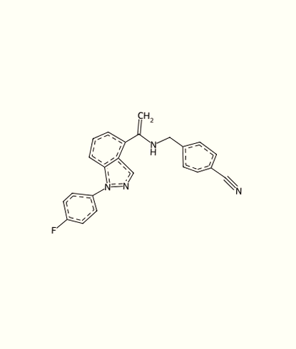 C=C(NCc1ccc(C#N)cc1)c1cccc2c1cnn2-c1ccc(F)cc1